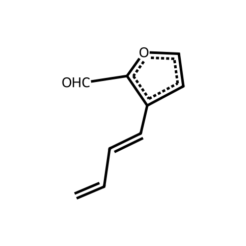 C=CC=Cc1ccoc1C=O